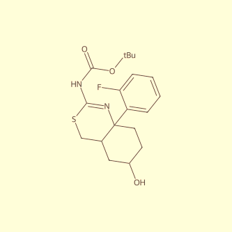 CC(C)(C)OC(=O)NC1=NC2(c3ccccc3F)CCC(O)CC2CS1